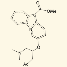 COC(=O)c1c2ccccc2n2cc(OC(CC(C)=O)CN(C)C)ccc12